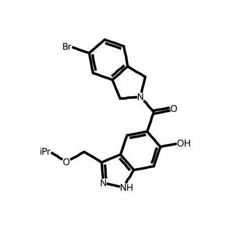 CC(C)OCc1n[nH]c2cc(O)c(C(=O)N3Cc4ccc(Br)cc4C3)cc12